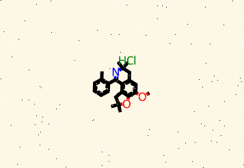 COc1cc2c(c3c1OC(C)(C)C3)C(c1ccccc1C)=NC(C)(C)C2.Cl